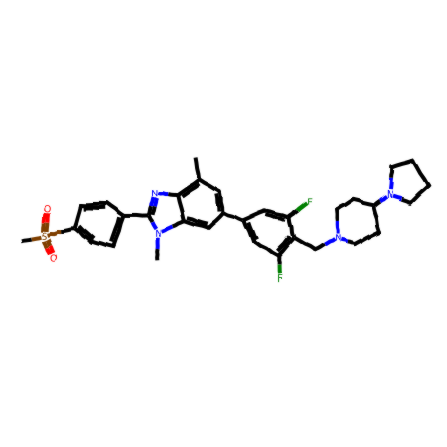 Cc1cc(-c2cc(F)c(CN3CCC(N4CCCC4)CC3)c(F)c2)cc2c1nc(-c1ccc(S(C)(=O)=O)cc1)n2C